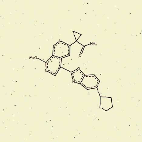 CNc1ncc(-c2nc3cc(C4CCCO4)ccc3o2)c2cc(C3(C(N)=O)CC3)ncc12